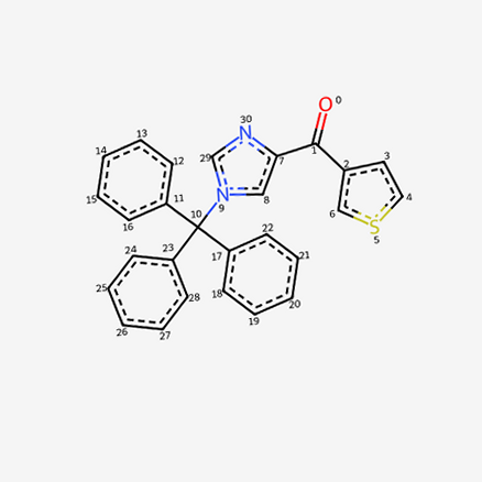 O=C(c1ccsc1)c1cn(C(c2ccccc2)(c2ccccc2)c2ccccc2)cn1